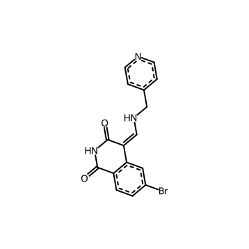 O=C1NC(=O)c2ccc(Br)cc2C1=CNCc1ccncc1